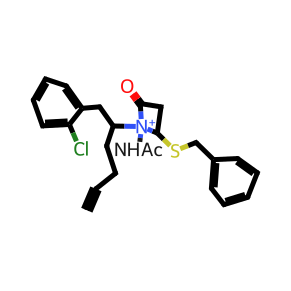 C#CCCC(Cc1ccccc1Cl)[N+]1(NC(C)=O)C(=O)CC1SCc1ccccc1